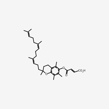 CC(C)=CCCC(C)=CCCC(C)=CCCC1(C)CCc2c(C)c(OC(=O)C=CC(=O)O)c(C)c(C)c2O1